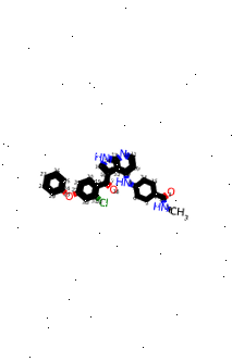 CNC(=O)C1CCC(Nc2ccnc3[nH]cc(C(=O)c4ccc(Oc5ccccc5)cc4Cl)c23)CC1